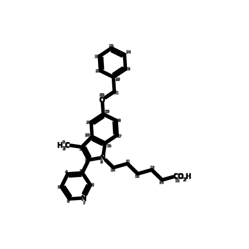 Cc1c(-c2cccnc2)n(CCCCCC(=O)O)c2ccc(OCc3ccccc3)cc12